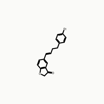 CCc1ccc(CCC=Cc2ccc3c(c2)C(=O)CO3)cc1